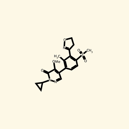 COc1c(-c2ccc(S(C)(=O)=O)c(C3=NOCC3)c2C)cnn(C2CC2)c1=O